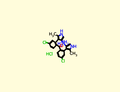 Cc1[nH]cc(N)c1-c1cc(Cl)ccc1C(=O)c1ccc(Cl)cc1-c1c(N)c[nH]c1C.Cl